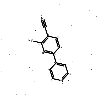 N#Cc1ccc(-c2ccncc2)cc1F